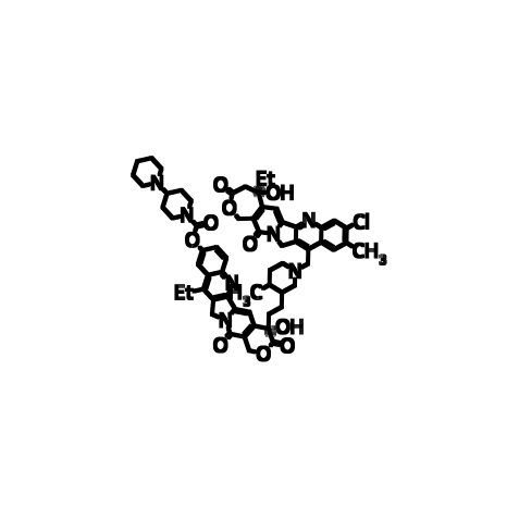 CCc1c2c(nc3ccc(OC(=O)N4CCC(N5CCCCC5)CC4)cc13)-c1cc3c(c(=O)n1C2)COC(=O)[C@]3(O)CCC1CN(Cc2c3c(nc4cc(Cl)c(C)cc24)-c2cc4c(c(=O)n2C3)COC(=O)C[C@]4(O)CC)CCC1C